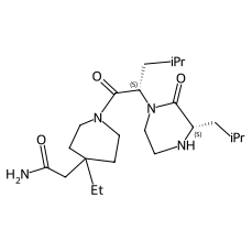 CCC1(CC(N)=O)CCN(C(=O)[C@H](CC(C)C)N2CCN[C@@H](CC(C)C)C2=O)CC1